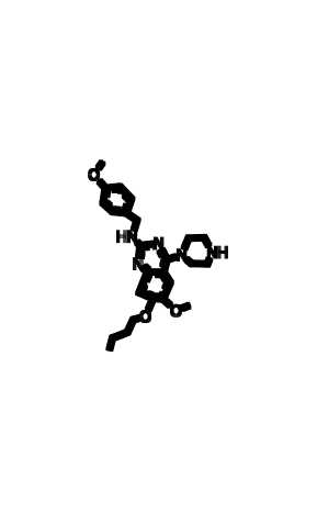 CCCCOc1cc2nc(NCc3ccc(OC)cc3)nc(N3CCNCC3)c2cc1OC